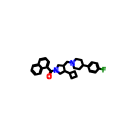 O=C(c1cccc2ccccc12)N1CC(CN2CCC(c3ccc(F)cc3)CC2)C(C2CCC2)C1